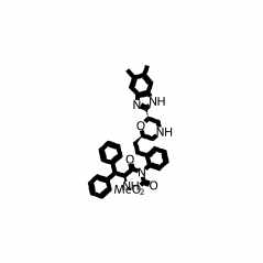 COC(=O)N(C(=O)[C@@H](N)C(c1ccccc1)c1ccccc1)c1ccccc1CC[C@@H]1CNC[C@@H](c2nc3cc(C)c(C)cc3[nH]2)O1